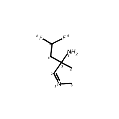 C/N=C\C(C)(N)CC(F)F